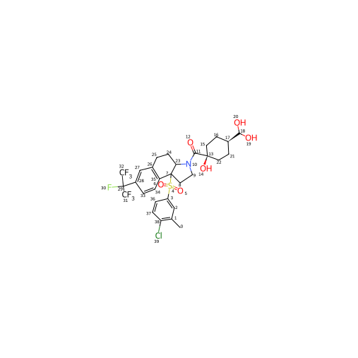 Cc1cc(S(=O)(=O)C23CCN(C(=O)[C@]4(O)CC[C@@H](C(O)O)CC4)C2CCc2cc(C(F)(C(F)(F)F)C(F)(F)F)ccc23)ccc1Cl